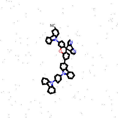 N#Cc1ccc2c(c1)c1ccccc1n2-c1ccc2c(c1)Oc1cc(-c3ccc4c(c3)c3ccccc3n4-c3ccc(-n4c5ccccc5c5ccccc54)cc3)ccc1C21c2cccnc2-c2ncccc21